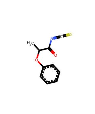 CC(Oc1ccccc1)C(=O)N=C=S